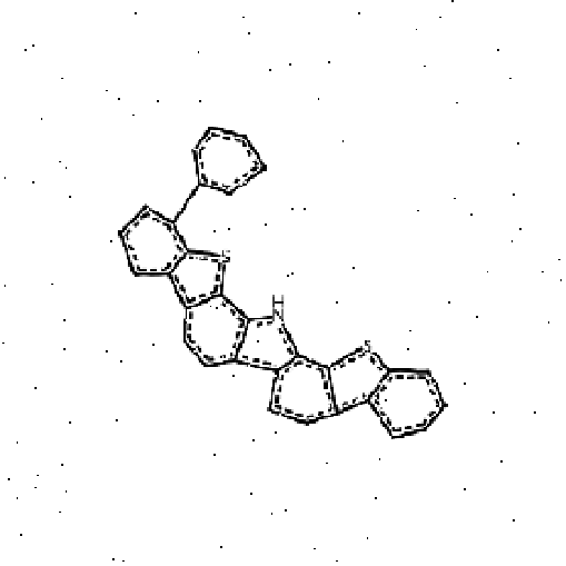 c1ccc(-c2cccc3c2sc2c3ccc3c4ccc5c6ccccc6sc5c4[nH]c32)cc1